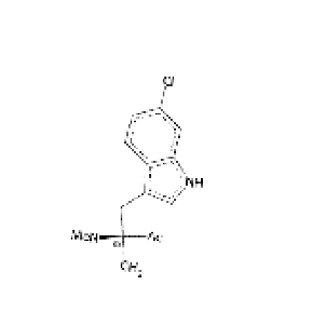 CN[C@@](C)(Cc1c[nH]c2cc(Cl)ccc12)C(C)=O